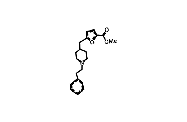 COC(=O)c1ccc(CC2CCN(CCc3ccccc3)CC2)o1